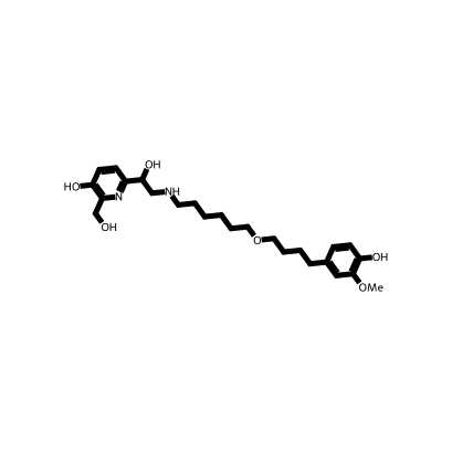 COc1cc(CCCCOCCCCCCNCC(O)c2ccc(O)c(CO)n2)ccc1O